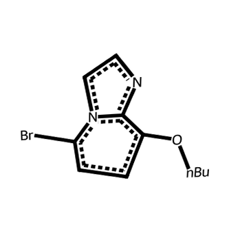 CCCCOc1ccc(Br)n2ccnc12